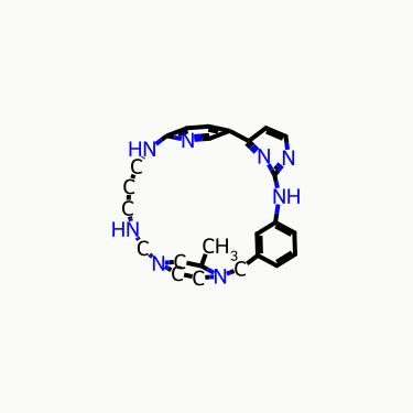 CC1CN2CCN1Cc1cccc(c1)Nc1nccc(n1)-c1ccc(nc1)NCCCNC2